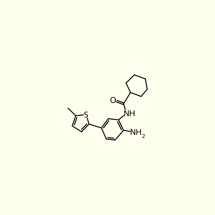 Cc1ccc(-c2ccc(N)c(NC(=O)C3CCCCC3)c2)s1